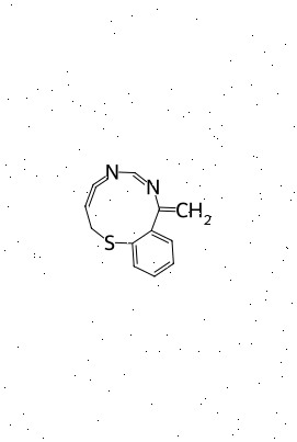 C=C1/N=C\N=C=CCSc2ccccc21